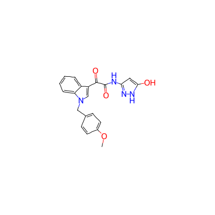 COc1ccc(Cn2cc(C(=O)C(=O)Nc3cc(O)[nH]n3)c3ccccc32)cc1